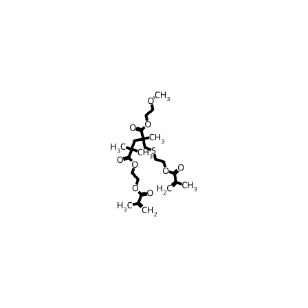 C=C(C)C(=O)OCCOC(=O)C(C)(C)CC(C)(CSCCOC(=O)C(=C)C)C(=O)OCCOC